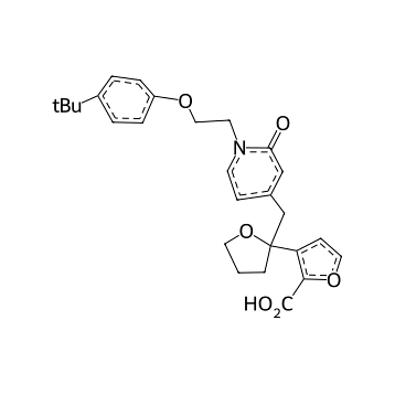 CC(C)(C)c1ccc(OCCn2ccc(CC3(c4ccoc4C(=O)O)CCCO3)cc2=O)cc1